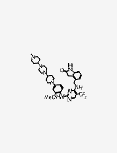 COc1cc(N2CCC(N3CCN(C4CCN(C)CC4)CC3)CC2)ccc1Nc1ncc(C(F)(F)F)c(NCc2cccc3c2CC(=O)N3)n1